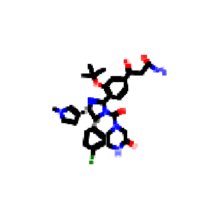 Cn1ccc([C@@H]2N=C(c3ccc(C(=O)CC(N)=O)cc3OC(C)(C)C)N(C(=O)N3CCNC(=O)C3)[C@@H]2c2ccc(Cl)cc2)c1